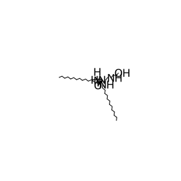 CCCCCCCCCCCCCNP(=O)(NCCCCCCCCCCCCC)NCCNCCO